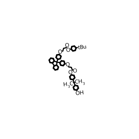 CC(C)(C)c1ccc(OC(=O)CCOc2ccc(C3(c4ccc(OCCC(=O)Oc5ccc(C(C)(C)c6ccc(O)cc6)cc5)cc4)c4ccccc4-c4ccccc43)cc2)cc1